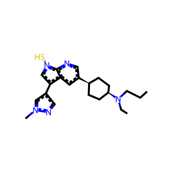 CCCN(CC)[C@H]1CC[C@@H](c2cnc3c(c2)c(-c2cnn(C)c2)cn3S)CC1